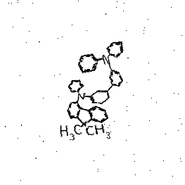 CC1(C)c2ccccc2-c2c(N(C3=CCCC(c4cccc(N(c5ccccc5)c5ccccc5)c4)=C3)c3ccccc3)cccc21